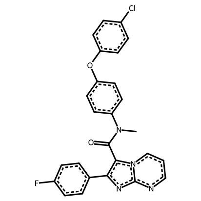 CN(C(=O)c1c(-c2ccc(F)cc2)nc2ncccn12)c1ccc(Oc2ccc(Cl)cc2)cc1